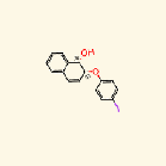 O[C@H]1c2ccccc2C=C[C@@H]1Oc1ccc(I)cc1